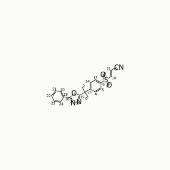 CC(C)(c1ccc(S(=O)(=O)C=CC#N)cc1)c1nnc(-c2ccccc2)o1